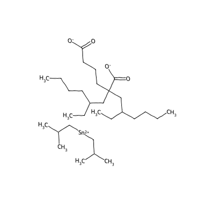 CC(C)[CH2][Sn+2][CH2]C(C)C.CCCCC(CC)CC(CCCC(=O)[O-])(CC(CC)CCCC)C(=O)[O-]